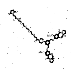 COc1cc2c(cc1OCc1cc(COc3cc4c(cc3OC)C(=O)N3CCC[C@H]3C=N4)cc(N3CCN(C(=O)CCOCCOCCOCCOCCNC(=O)CCN4C(=O)C=CC4=O)CC3)c1)N=C[C@@H]1CCCN1C2=O